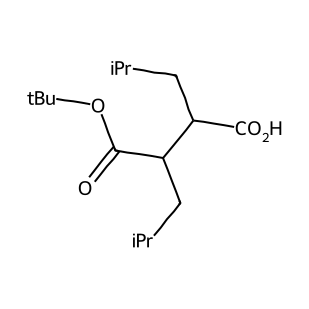 CC(C)CC(C(=O)O)C(CC(C)C)C(=O)OC(C)(C)C